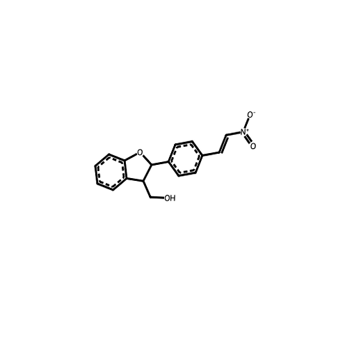 O=[N+]([O-])/C=C/c1ccc(C2Oc3ccccc3C2CO)cc1